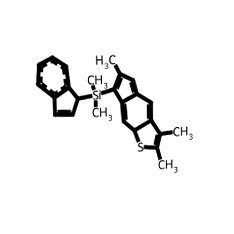 CC1=C([Si](C)(C)C2C=Cc3ccccc32)C2=CC3SC(C)=C(C)C3=CC2=C1